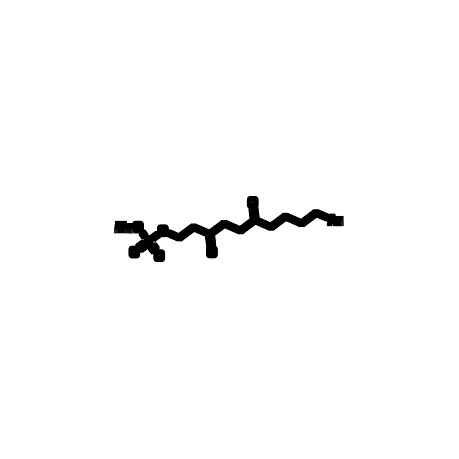 COS(=O)(=O)OCCC(=O)CCC(=O)CCCCC(C)=O